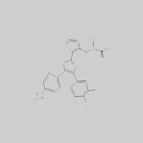 NC(=O)N(O)Cc1nn[nH]c1-c1nc(-c2ccc(F)c(Cl)c2)c(-c2ccc(S(N)(=O)=O)cc2)o1